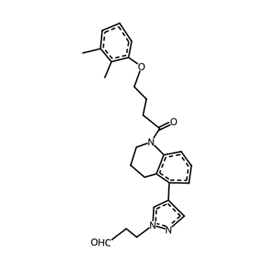 Cc1cccc(OCCCC(=O)N2CCCc3c(-c4cnn(CCC=O)c4)cccc32)c1C